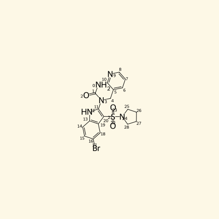 NC(=O)N(Cc1cccnc1)c1[nH]c2ccc(Br)cc2c1S(=O)(=O)N1CCCC1